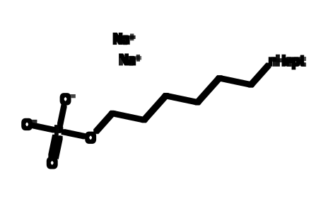 CCCCCCCCCCCCCOP(=O)([O-])[O-].[Na+].[Na+]